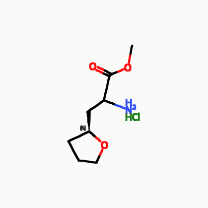 COC(=O)C(N)C[C@@H]1CCCO1.Cl